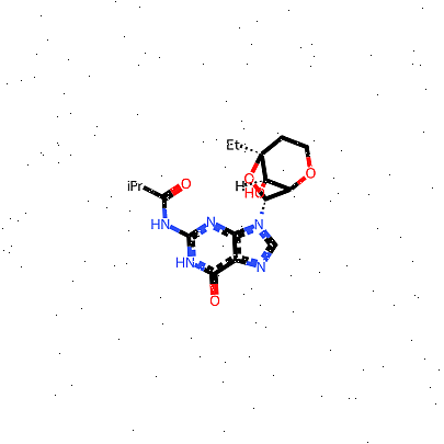 CC[C@@]12CCOC([C@H](n3cnc4c(=O)[nH]c(NC(=O)C(C)C)nc43)O1)[C@H]2O